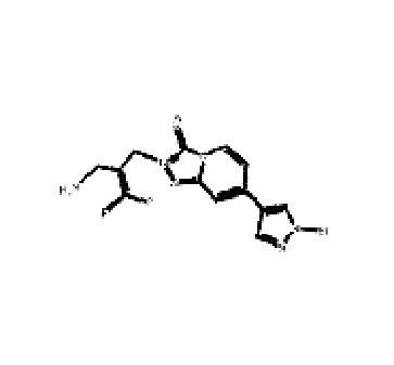 CCn1cc(-c2ccn3c(=O)n(CC(CN)=C(F)F)nc3c2)cn1